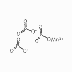 O=P(=O)[O-].O=P(=O)[O-].O=P(=O)[O-].[Mn+3]